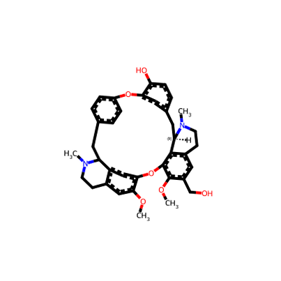 COc1cc2c3cc1Oc1c(OC)c(CO)cc4c1[C@@H](Cc1ccc(O)c(c1)Oc1ccc(cc1)CC3N(C)CC2)N(C)CC4